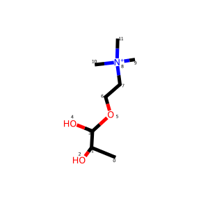 CC(O)C(O)OCC[N+](C)(C)C